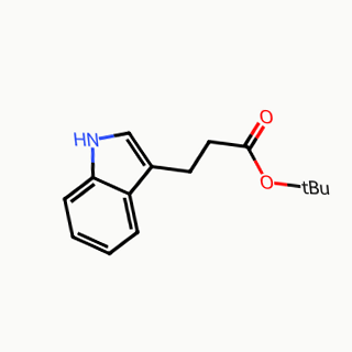 CC(C)(C)OC(=O)CCc1c[nH]c2ccccc12